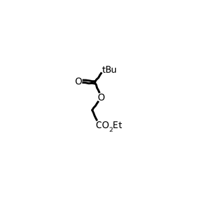 CCOC(=O)COC(=O)C(C)(C)C